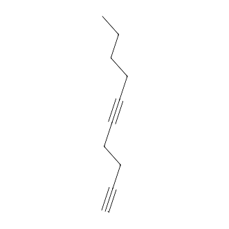 [C]#CCCC#CCCCC